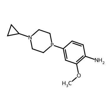 COc1cc(P2CCN(C3CC3)CC2)ccc1N